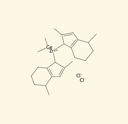 CC1=CC2=C(CCCC2C)[CH]1[Zr+2]([CH]1C(C)=CC2=C1CCCC2C)=[Ge]([CH3])[CH3].[Cl-].[Cl-]